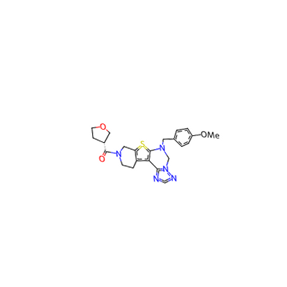 COc1ccc(CN2Cn3ncnc3-c3c2sc2c3CCN(C(=O)[C@@H]3CCOC3)C2)cc1